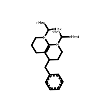 CCCCCCCC(CCCCCC)N1CCC(Cc2ccccc2)C2=C1N(C(CCCCCC)CCCCCC)CCC2